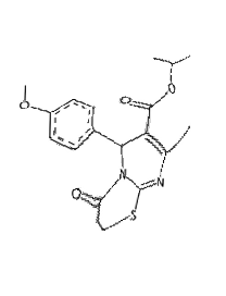 COc1ccc(C2C(C(=O)OC(C)C)=C(C)N=C3SCC(=O)N32)cc1